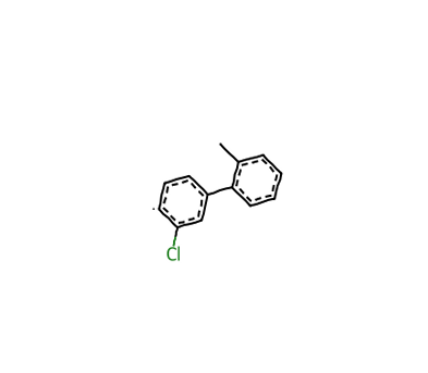 Cc1ccccc1-c1cc[c]c(Cl)c1